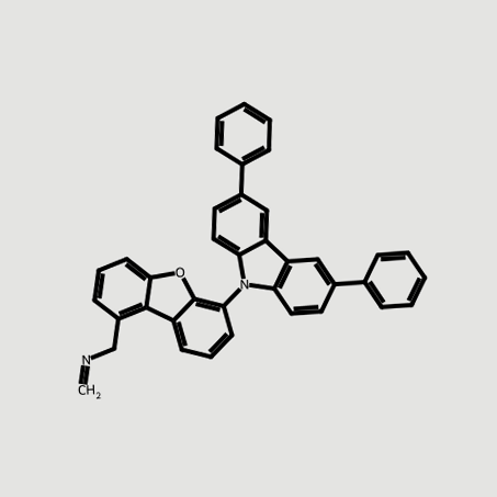 C=NCc1cccc2oc3c(-n4c5ccc(-c6ccccc6)cc5c5cc(-c6ccccc6)ccc54)cccc3c12